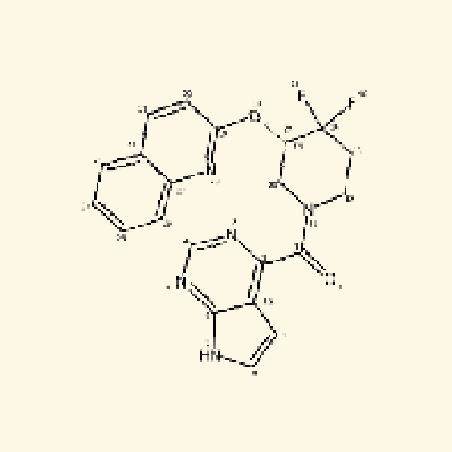 O=C(c1ncnc2[nH]ccc12)N1CCC(F)(F)[C@@H](Oc2ccc3ccccc3n2)C1